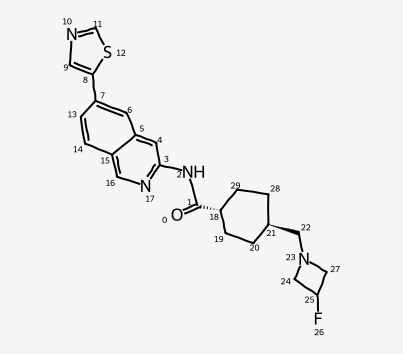 O=C(Nc1cc2cc(-c3cncs3)ccc2cn1)[C@H]1CC[C@H](CN2CC(F)C2)CC1